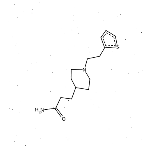 NC(=O)CCC1CCN(CCc2cccs2)CC1